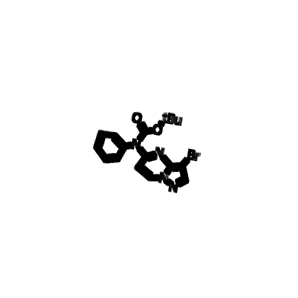 CC(C)(C)OC(=O)N(c1ccccc1)c1ccn2ncc(Br)c2n1